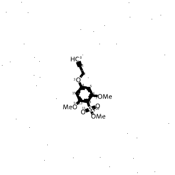 C#CCOc1cc(OC)c(S(=O)(=O)OC)c(OC)c1